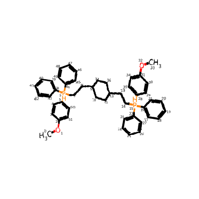 COc1ccc([PH](CCC2CCC(CC[PH](c3ccccc3)(c3ccccc3)c3ccc(OC)cc3)CC2)(c2ccccc2)c2ccccc2)cc1